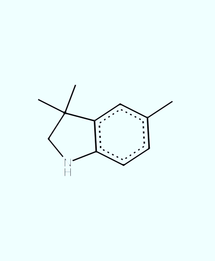 [CH2]c1ccc2c(c1)C(C)(C)CN2